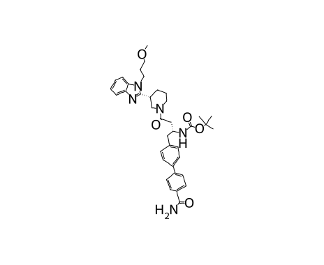 COCCCn1c([C@@H]2CCCN(C(=O)C[C@@H](Cc3ccc(-c4ccc(C(N)=O)cc4)cc3)NC(=O)OC(C)(C)C)C2)nc2ccccc21